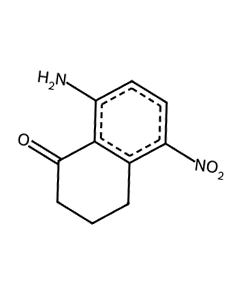 Nc1ccc([N+](=O)[O-])c2c1C(=O)CCC2